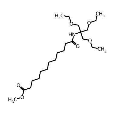 CCOCC(COCC)(COCC)NC(=O)CCCCCCCCCCC(=O)OC